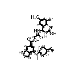 Cc1cc(Br)cc(C(NC(=O)O)NC(=O)CNC(=O)c2cc(NC3=NCC(CF)CN3)c3cn[nH]c3c2)c1